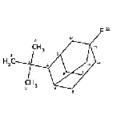 CC(C)(C)C1C2CC3CC1CC(F)(C3)C2